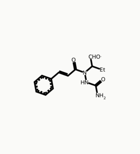 CCC([C]=O)N(NC(N)=O)C(=O)C=Cc1ccccc1